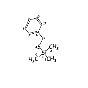 C[Si](C)(C)SCc1ccccc1